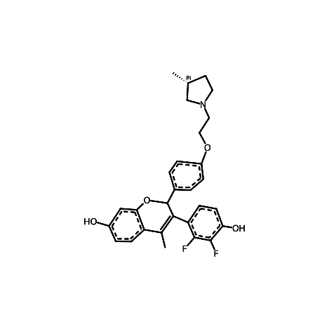 CC1=C(c2ccc(O)c(F)c2F)C(c2ccc(OCCN3CC[C@@H](C)C3)cc2)Oc2cc(O)ccc21